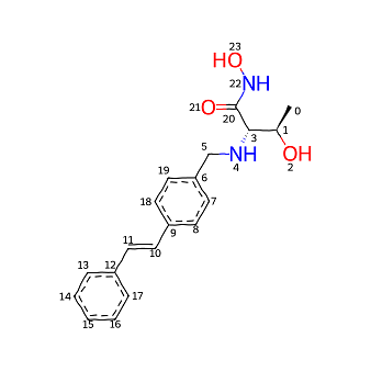 C[C@@H](O)[C@H](NCc1ccc(/C=C/c2ccccc2)cc1)C(=O)NO